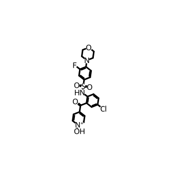 O=C(c1cc[n+](O)cc1)c1cc(Cl)ccc1NS(=O)(=O)c1ccc(N2CCOCC2)c(F)c1